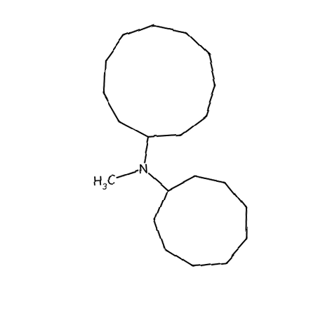 CN(C1CCCCCCCCCC1)C1CCCCCCCC1